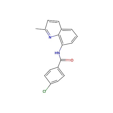 Cc1ccc2cccc(NC(=O)c3ccc(Cl)cc3)c2n1